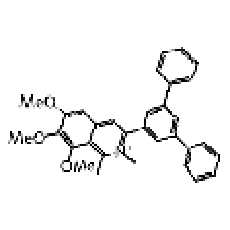 COc1cc2cc(-c3cc(-c4ccccc4)cc(-c4ccccc4)c3)[n+](C)c(C)c2c(OC)c1OC